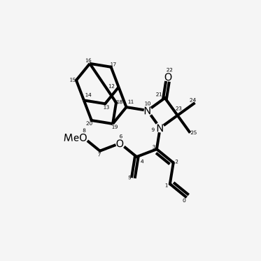 C=C/C=C(\C(=C)OCOC)N1N(C2C3CC4CC(C3)CC2C4)C(=O)C1(C)C